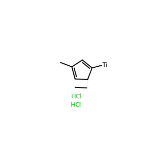 CC.CC1=CC[C]([Ti])=C1.Cl.Cl